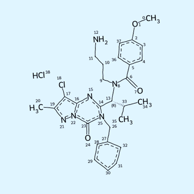 COc1ccc(C(=O)N(CCCN)[C@@H](c2nc3c(Cl)c(C)nn3c(=O)n2Cc2ccccc2)C(C)C)cc1.Cl